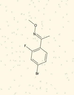 CON=C(C)c1ccc(Br)cc1F